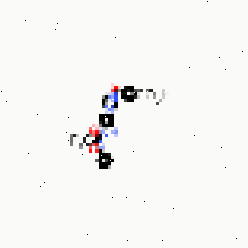 O=C(Nc1ccc(N2CCCN(C(=O)[C@H]3CC[C@H](C(=O)O)CC3)CC2)cc1)c1nc(-c2ccccc2)oc1C(F)(F)F